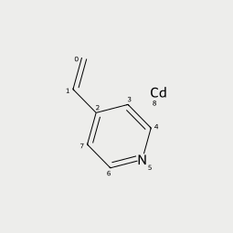 C=Cc1ccncc1.[Cd]